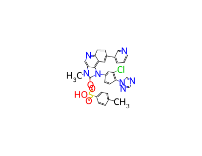 Cc1ccc(S(=O)(=O)O)cc1.Cn1c(=O)n(-c2ccc(-n3cncn3)c(Cl)c2)c2c3cc(-c4cccnc4)ccc3ncc21